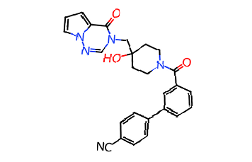 N#Cc1ccc(-c2cccc(C(=O)N3CCC(O)(Cn4cnn5cccc5c4=O)CC3)c2)cc1